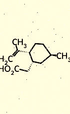 C=C(C)[C@@H]1CC[C@@H](C)C[C@@H]1CC(=O)O